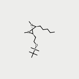 CCCCC[C@@H]1N(C)[C@@]12[C@@H](CCO[Si](C)(C)C(C)(C)C)N2C